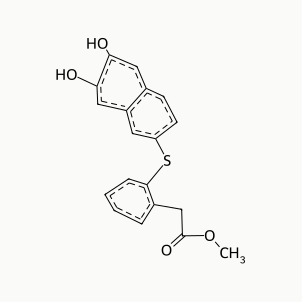 COC(=O)Cc1ccccc1Sc1ccc2cc(O)c(O)cc2c1